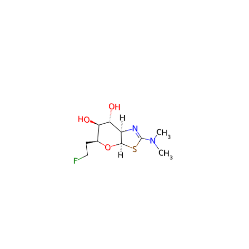 CN(C)C1=N[C@@H]2[C@@H](O)[C@H](O)[C@H](CCF)O[C@@H]2S1